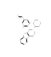 C[C@@H]1Cc2c([nH]c3ccccc23)[C@@H](c2c(F)cc(C=CC(=O)O)cc2F)N1C1CCOCC1